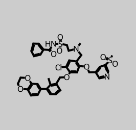 Cc1c(COc2cc(OCc3cncc(S(C)(=O)=O)c3)c(CN(C)CCS(=O)(=O)NC(=O)c3ccccc3)cc2Cl)cccc1-c1ccc2c(c1)OCCO2